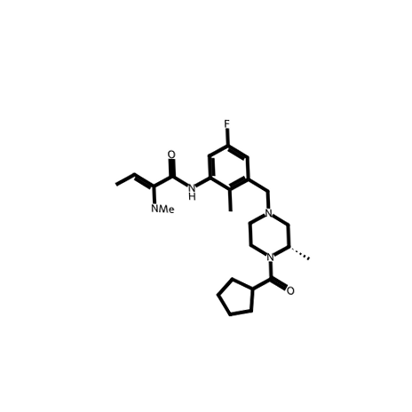 C/C=C(\NC)C(=O)Nc1cc(F)cc(CN2CCN(C(=O)C3CCCC3)[C@@H](C)C2)c1C